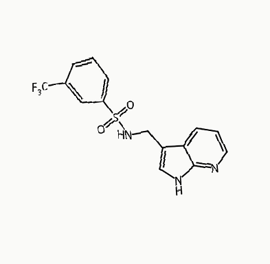 O=S(=O)(NCc1c[nH]c2ncccc12)c1cccc(C(F)(F)F)c1